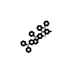 Cc1cc2c3c(c1)N(c1ccccc1)c1ccccc1B3c1cc3c(cc1O2)c1ccc2cc(N(c4ccccc4)c4ccccc4)ccc2c1n3-c1ccccc1